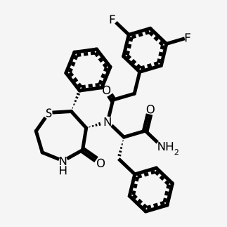 NC(=O)[C@H](Cc1ccccc1)N(C(=O)Cc1cc(F)cc(F)c1)[C@@H]1C(=O)NCCS[C@@H]1c1ccccc1